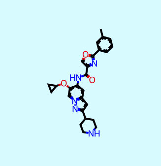 Cc1cccc(-c2nc(C(=O)Nc3cc4cc(C5CCNCC5)nn4cc3OC3CC3)co2)c1